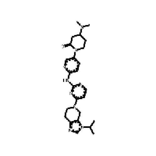 CC(C)n1cnc2c1CN(c1ccnc(Nc3ccc(N4CCC(N(C)C)CC4=O)cn3)n1)CC2